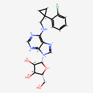 OC[C@H]1O[C@@H](n2cnc3c(NCC4(c5ccccc5Cl)CC4)ncnc32)C(O)C1O